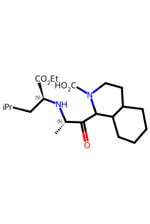 CCOC(=O)[C@H](CC(C)C)N[C@@H](C)C(=O)C1C2CCCCC2CCN1C(=O)O